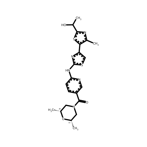 Cc1nc(C(C)O)sc1-c1csc(Nc2ccc(C(=O)N3C[C@@H](C)O[C@@H](C)C3)cn2)n1